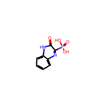 O=c1[nH]c2ccccc2nc1P(=O)(O)O